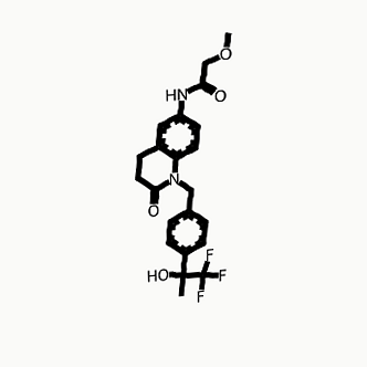 COCC(=O)Nc1ccc2c(c1)CCC(=O)N2Cc1ccc(C(C)(O)C(F)(F)F)cc1